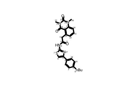 CCCCc1ccc(-c2csc(NC(=O)Cc3cccc4c3c(=O)n(C)c(=O)n4C)n2)cc1